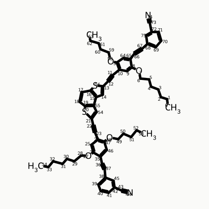 CCCCCCCOc1cc(C#Cc2cc3c(ccc4sc(C#Cc5cc(OCCCCCCC)c(C#Cc6cccc(C#N)c6)cc5OCCCCC)cc43)s2)c(OCCCCC)cc1C#Cc1cccc(C#N)c1